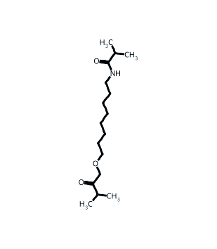 CC(C)C(=O)COCCCCCCCCNC(=O)C(C)C